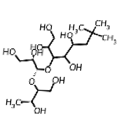 C[C@H](O)C(CO)O[C@@H](OC(C(O)CO)C(O)C(O)CC(C)(C)C)[C@@H](O)CO